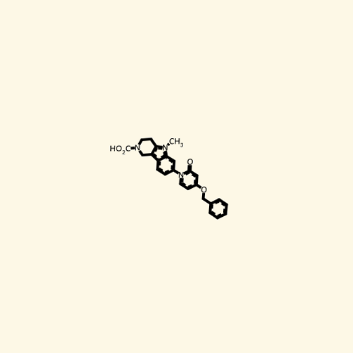 Cn1c2c(c3ccc(-n4ccc(OCc5ccccc5)cc4=O)cc31)CN(C(=O)O)CC2